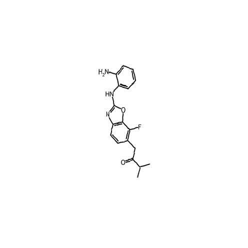 CC(C)C(=O)Cc1ccc2nc(Nc3ccccc3N)oc2c1F